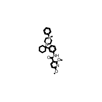 COc1ccc(C(=O)Nc2cccc(C3(N4CC[N+](C)(c5ccccc5)CC4)CCCCC3)c2)c(OC)n1